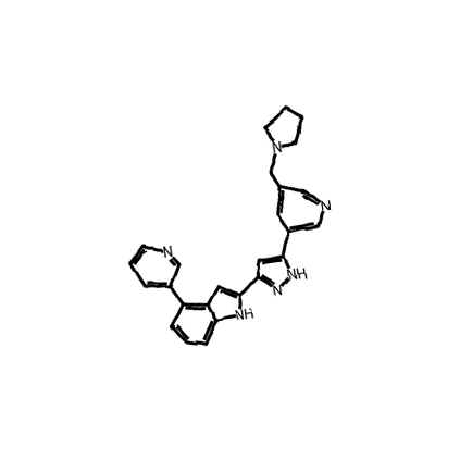 c1cncc(-c2cccc3[nH]c(-c4cc(-c5cncc(CN6CCCC6)c5)[nH]n4)cc23)c1